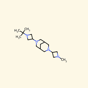 CN1CC(N2CC3CC(C2)CN(C2CN(C(C)(C)C)C2)C3)C1